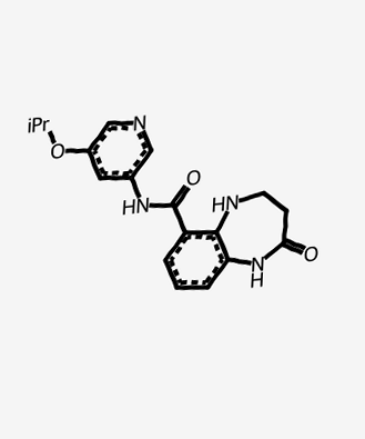 CC(C)Oc1cncc(NC(=O)c2cccc3c2NCCC(=O)N3)c1